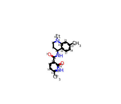 CCN1CCC(NC(=O)c2ccc(C(F)(F)F)[nH]c2=O)c2ccc(C)cc21